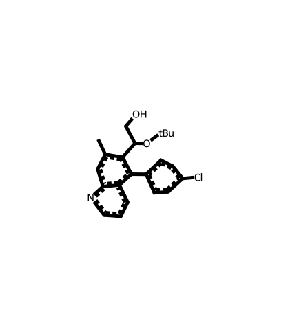 Cc1cc2ncccc2c(-c2ccc(Cl)cc2)c1C(CO)OC(C)(C)C